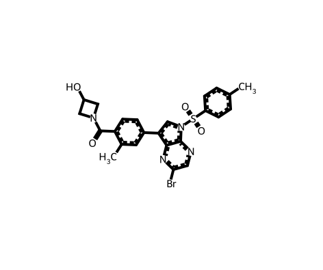 Cc1ccc(S(=O)(=O)n2cc(-c3ccc(C(=O)N4CC(O)C4)c(C)c3)c3nc(Br)cnc32)cc1